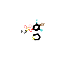 C1CCSCC1.O=S(=O)(Oc1cc(F)c(Br)c(F)c1)C(F)(F)F